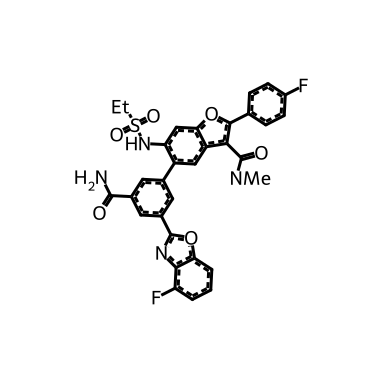 CCS(=O)(=O)Nc1cc2oc(-c3ccc(F)cc3)c(C(=O)NC)c2cc1-c1cc(C(N)=O)cc(-c2nc3c(F)cccc3o2)c1